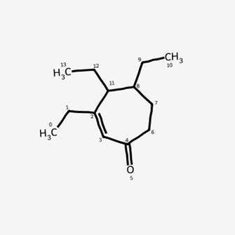 CCC1=CC(=O)CCC(CC)C1CC